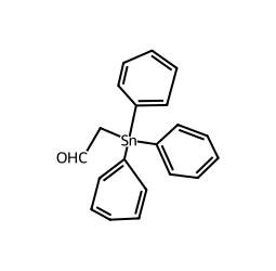 O=C[CH2][Sn]([c]1ccccc1)([c]1ccccc1)[c]1ccccc1